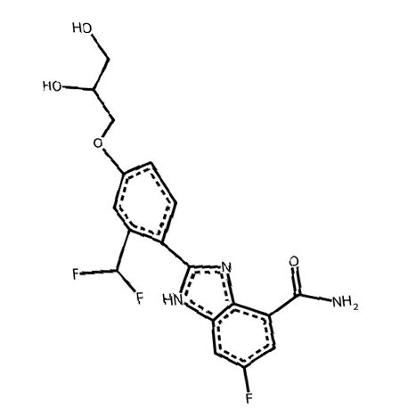 NC(=O)c1cc(F)cc2[nH]c(-c3ccc(OCC(O)CO)cc3C(F)F)nc12